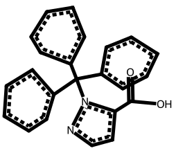 O=C(O)c1ccnn1C(c1ccccc1)(c1ccccc1)c1ccccc1